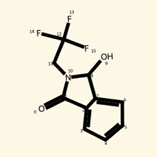 O=C1c2ccccc2C(O)N1CC(F)(F)F